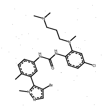 Cc1ccc(NC(=O)Nc2ccc(Cl)cc2N(C)CCCN(C)C)cc1-c1c(Br)cnn1C